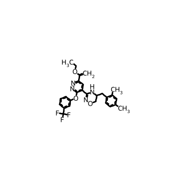 C=C(OCC)c1cc(C2=NOCC(Cc3ccc(C)cc3C)N2)c(Oc2cccc(C(F)(F)F)c2)nn1